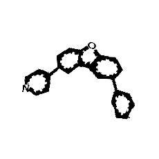 [c]1ccc(-c2ccc3oc4ccc(-c5ccncc5)cc4c3c2)cc1